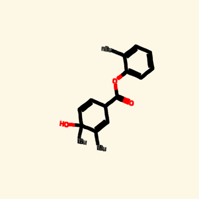 CCCCc1ccccc1OC(=O)C1C=CC(O)(C(C)(C)C)C(C(C)(C)C)=C1